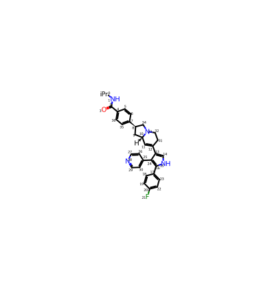 CC(C)NC(=O)c1ccc([C@@H]2C[C@H]3C=C(c4c[nH]c(-c5ccc(F)cc5)c4-c4ccncc4)CCN3C2)cc1